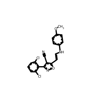 COc1ccc(NC=Cc2onc(-c3c(Cl)cccc3Cl)c2C#N)cc1